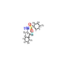 Cc1ccc(S(=O)(=O)NC2Cc3ccccc3C2F)cc1